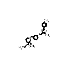 CCOC(=O)C1(CC)CCCN(Cc2cccc(OCc3nc(-c4ccc(C)cc4)oc3C)c2)C1